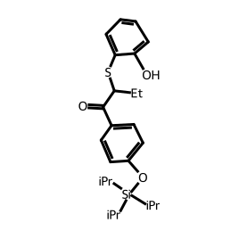 CCC(Sc1ccccc1O)C(=O)c1ccc(O[Si](C(C)C)(C(C)C)C(C)C)cc1